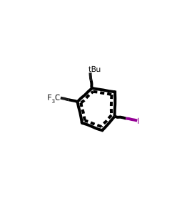 CC(C)(C)c1cc(I)ccc1C(F)(F)F